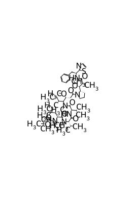 CC[C@H](C)[C@@H]([C@@H](CC(=O)N1CCC[C@H]1[C@H](OC)[C@@H](C)C(=O)N[C@@H](Cc1ccccc1)c1nccs1)OC)N(C)C(=O)[C@@H](NC(=O)[C@H](C(C)C)N(C)C(=O)[C@H](CC(C)C)N(C)C(=O)OC(C)(C)C)C(C)C